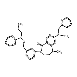 CCCC(OCc1cccc(N2CCN(C)c3nc(N(C)Cc4ccccn4)ncc3C2=O)c1)c1ccccc1